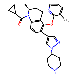 C[C@H]1CCc2c(ccc(-c3cnn(C4CCNCC4)c3)c2Oc2ncccc2C(F)(F)F)N1C(=O)C1CC1